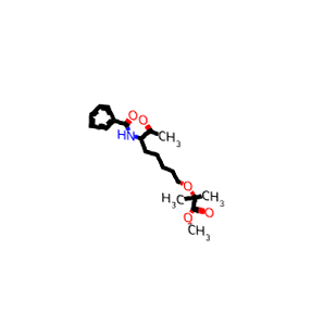 COC(=O)C(C)(C)OCCCCCC(NC(=O)c1ccccc1)C(C)=O